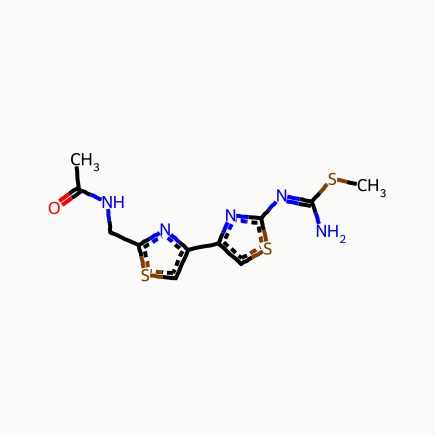 CS/C(N)=N/c1nc(-c2csc(CNC(C)=O)n2)cs1